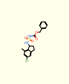 Cc1cc(Cl)cc2c1C(NS(=O)(=O)NC(=O)OCc1ccccc1)CC2